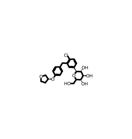 OCC1O[C@@H](c2ccc(Cl)c(Cc3ccc(O[C@H]4CCOC4)cc3)c2)[C@H](O)[C@@H](O)[C@@H]1O